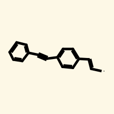 [CH2]/C=C/c1ccc(C#Cc2ccccc2)cc1